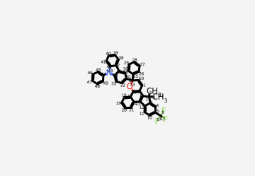 CC1(C)c2cc(C(F)(F)F)ccc2-c2c1c1c(c3ccccc23)OC(c2ccccc2)(c2ccc3c(c2)c2ccccc2n3-c2ccccc2)C=C1